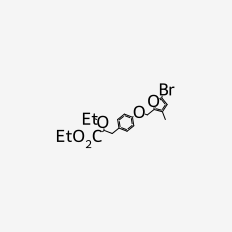 CCOC(=O)C(Cc1ccc(OCc2oc(Br)cc2C)cc1)OCC